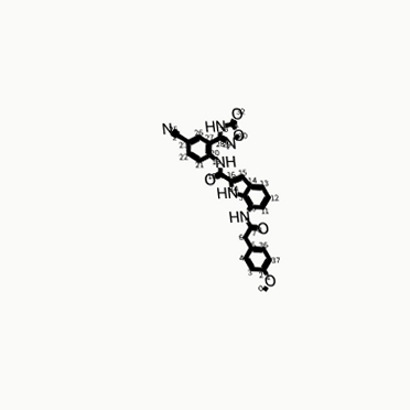 COc1ccc(CC(=O)Nc2cccc3cc(C(=O)Nc4ccc(C#N)cc4-c4noc(=O)[nH]4)[nH]c23)cc1